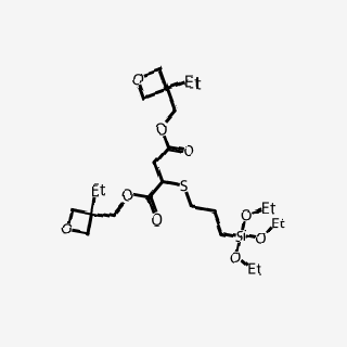 CCO[Si](CCCSC(CC(=O)OCC1(CC)COC1)C(=O)OCC1(CC)COC1)(OCC)OCC